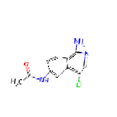 CC(=O)Nc1ccc2c(N)ncc(Cl)c2c1